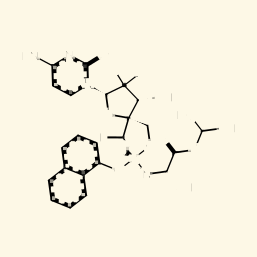 CC(C)OC(=O)[C@H](C)NP(=O)(OC[C@@]1(C(F)F)O[C@@H](n2ccc(N)nc2=O)C(F)(F)[C@@H]1O)Oc1cccc2ccccc12